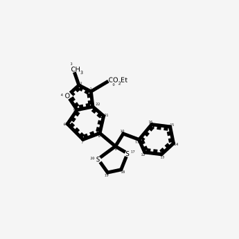 CCOC(=O)c1c(C)oc2ccc(C3(Cc4ccccc4)SCCS3)cc12